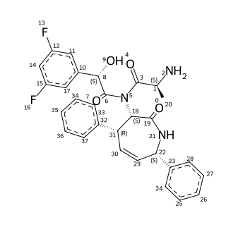 C[C@H](N)C(=O)N(C(=O)[C@@H](O)c1cc(F)cc(F)c1)[C@@H]1C(=O)N[C@H](c2ccccc2)C=C[C@@H]1c1ccccc1